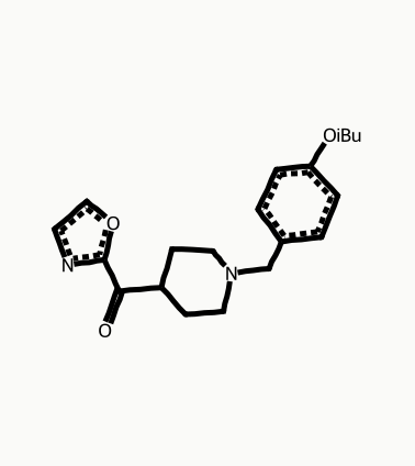 CC(C)COc1ccc(CN2CCC(C(=O)c3ncco3)CC2)cc1